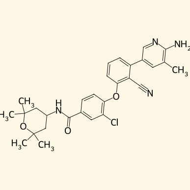 Cc1cc(-c2cccc(Oc3ccc(C(=O)NC4CC(C)(C)OC(C)(C)C4)cc3Cl)c2C#N)cnc1N